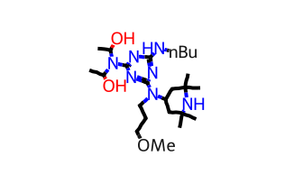 CCCCNc1nc(N(CCCOC)C2CC(C)(C)NC(C)(C)C2)nc(N(C(C)O)C(C)O)n1